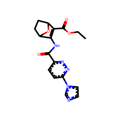 CCOC(=O)C1=C(NC(=O)c2ccc(-n3ccnc3)nn2)C2CCC1O2